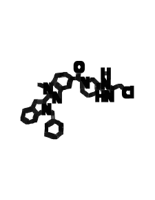 Cn1c(-c2cc3ccccc3n2Cc2ccccc2)nc2cc(C(=O)N3CCC[C@@H](NC(=N)CCl)C3)ccc21